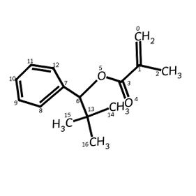 C=C(C)C(=O)OC(c1ccccc1)C(C)(C)C